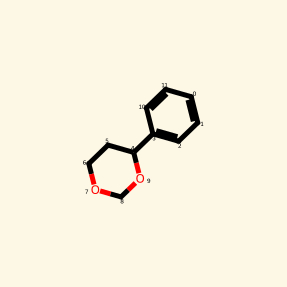 c1ccc(C2CCOCO2)cc1